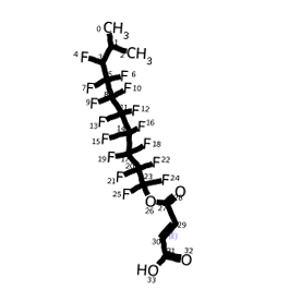 CC(C)C(F)C(F)(F)C(F)(F)C(F)(F)C(F)(F)C(F)(F)C(F)(F)C(F)(F)OC(=O)/C=C/C(=O)O